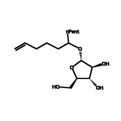 C=CCCCC(CCCCC)O[C@H]1O[C@H](CO)[C@@H](O)[C@@H]1O